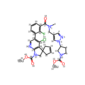 CN(Cc1cnn(C2CCN(C(=O)OC(C)(C)C)C2)c1)C(=O)c1cccc(-c2cnc3c(c2Cl)C2(CC=CC2)CN3C(=O)OC(C)(C)C)c1F